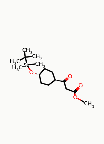 COC(=O)CC(=O)[C@H]1CC[C@H](O[Si](C)(C)C(C)(C)C)CC1